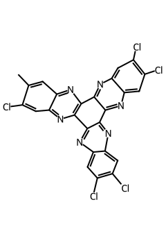 Cc1cc2nc3c(nc2cc1Cl)c1nc2cc(Cl)c(Cl)cc2nc1c1nc2cc(Cl)c(Cl)cc2nc31